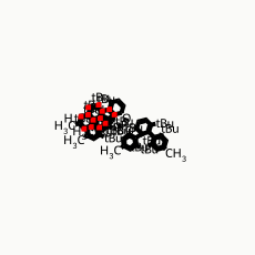 Cc1cc(C(C)(C)C)c(C2=C(C(C)(C)C)C=CC(OP(OC3C=CC(C(C)(C)C)=C(c4c(C(C)(C)C)cc(C)cc4C(C)(C)C)C3(c3c(C(C)(C)C)cc(C)cc3C(C)(C)C)C(C)(C)C)OC3C=CC(C(C)(C)C)=C(c4c(C(C)(C)C)cc(C)cc4C(C)(C)C)C3(c3c(C(C)(C)C)cc(C)cc3C(C)(C)C)C(C)(C)C)C2(c2c(C(C)(C)C)cc(C)cc2C(C)(C)C)C(C)(C)C)c(C(C)(C)C)c1